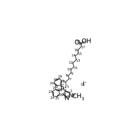 Cn1cc([P+](CCCCCCCCCCCCCC(=O)O)(c2ccccc2)c2ccccc2)cn1.[I-]